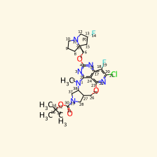 CN1c2nc(OC[C@@]34CCCN3C[C@H](F)C4)nc3c(F)c(Cl)nc(c23)OCC2CN(C(=O)OC(C)(C)C)CC21